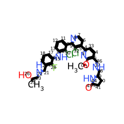 COc1nc(-c2ccnc(-c3cccc(Nc4cccc(CNCC(C)O)c4F)c3Cl)c2Cl)ccc1CNCC1CCC(=O)N1